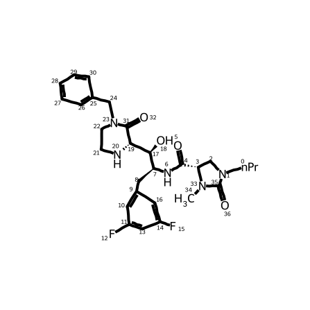 CCCN1C[C@@H](C(=O)N[C@@H](Cc2cc(F)cc(F)c2)[C@H](O)[C@@H]2NCCN(Cc3ccccc3)C2=O)N(C)C1=O